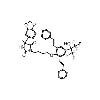 CC1(c2ccc3c(c2)OCO3)NC(=O)N(CCCCOc2c(/C=C/c3ccccc3)cc(C(O)(C(F)(F)F)C(F)(F)F)cc2/C=C/c2ccccc2)C1=O